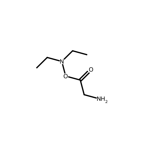 CCN(CC)OC(=O)CN